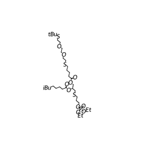 CCOP(=O)(OCC)OCCCSCC(COC(=O)CCCCSCCOCCOCCSC(C)(C)C)OC(=O)CCCCC(C)CC